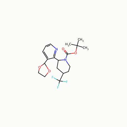 CC(C)(C)OC(=O)N1CCC(C(F)(F)F)CC1c1ncccc1C1OCCO1